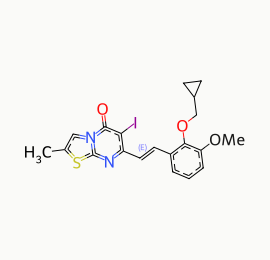 COc1cccc(/C=C/c2nc3sc(C)cn3c(=O)c2I)c1OCC1CC1